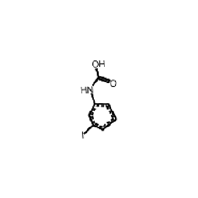 O=C(O)Nc1cccc(I)c1